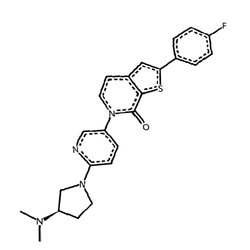 CN(C)[C@@H]1CCN(c2ccc(-n3ccc4cc(-c5ccc(F)cc5)sc4c3=O)cn2)C1